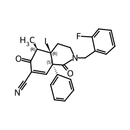 C[C@@H]1C(=O)C(C#N)=C[C@]2(c3ccccc3)C(=O)N(Cc3ccccc3F)CC[C@@]12I